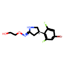 OCCO/N=C1/C[C@H](c2c(F)cc(Br)cc2F)CN1